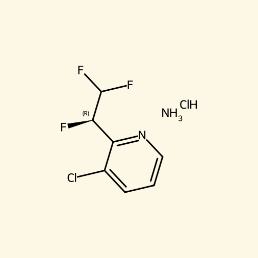 Cl.FC(F)[C@H](F)c1ncccc1Cl.N